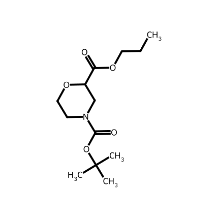 CCCOC(=O)C1CN(C(=O)OC(C)(C)C)CCO1